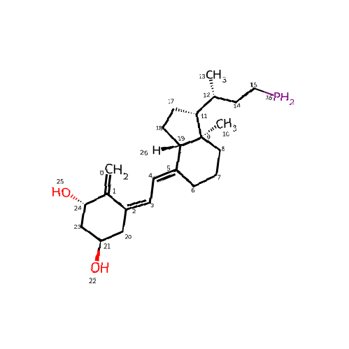 C=C1/C(=C\C=C2/CCC[C@]3(C)[C@@H]([C@H](C)CCP)CC[C@@H]23)C[C@@H](O)C[C@@H]1O